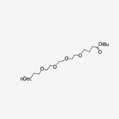 CCCCCCCCCCCCOCCOCCOCCOCCCC(=O)OCC(C)C